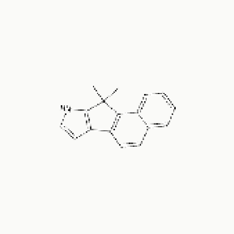 CC1(C)c2[nH]ccc2-c2ccc3ccccc3c21